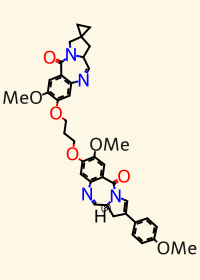 COc1ccc(C2=CN3C(=O)c4cc(OC)c(OCCCOc5cc6c(cc5OC)C(=O)N5CC7(CC7)CC5C=N6)cc4N=C[C@@H]3C2)cc1